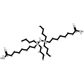 CCC[CH2][Sn]([CH2]CCC)([CH2]CCCCCCC(=O)O)[O][Sn]([CH2]CCC)([CH2]CCC)[CH2]CCCCCCC(=O)O